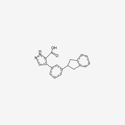 O=C(O)c1[nH]ncc1-c1cccc(C2Cc3ccccc3C2)c1